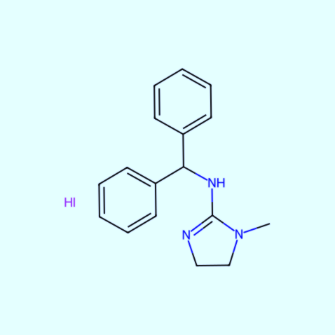 CN1CCN=C1NC(c1ccccc1)c1ccccc1.I